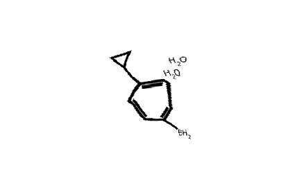 Bc1ccc(C2CC2)cc1.O.O